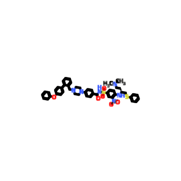 CN(C)CC[C@H](CSc1ccccc1)Nc1ccc(S(=O)(=O)NC(=O)c2ccc(N3CCN(Cc4ccccc4-c4ccc(Oc5ccccc5)cc4)CC3)cc2)cc1[N+](=O)[O-]